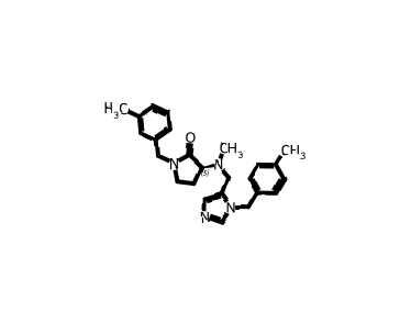 Cc1ccc(Cn2cncc2CN(C)[C@H]2CCN(Cc3cccc(C)c3)C2=O)cc1